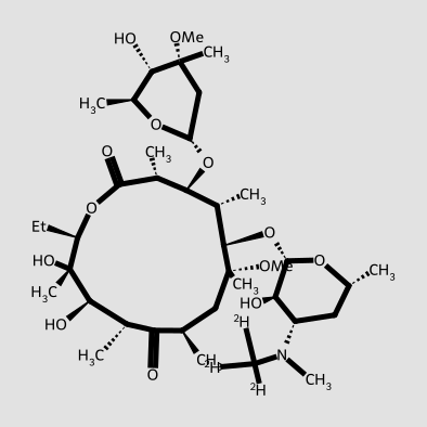 [2H]C([2H])([2H])N(C)[C@H]1C[C@@H](C)O[C@@H](O[C@@H]2[C@@H](C)[C@H](O[C@H]3C[C@@](C)(OC)[C@@H](O)[C@H](C)O3)[C@@H](C)C(=O)O[C@H](CC)[C@@](C)(O)[C@H](O)[C@@H](C)C(=O)[C@H](C)C[C@@]2(C)OC)[C@@H]1O